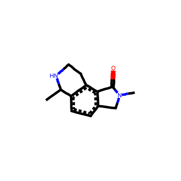 CC1NCCc2c1ccc1c2C(=O)N(C)C1